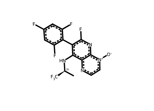 C[C@H](Nc1c(-c2c(F)cc(F)cc2F)c(F)nc2c1ncc[n+]2[O-])C(F)(F)F